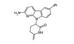 C=C1CCC(n2c3ccc(C(C)C)cc3c3ccc(N)nc32)C(=O)N1